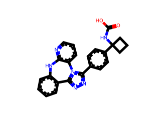 O=C(O)NC1(c2ccc(-c3nnc4n3-c3cccnc3Nc3ccccc3-4)cc2)CCC1